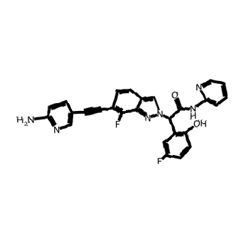 Nc1ccc(C#Cc2ccc3cn(C(C(=O)Nc4ccccn4)c4cc(F)ccc4O)nc3c2F)cn1